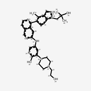 Cc1c(-c2nccc3cnc(Nc4cnc(O)c(N5CCN(CCO)CC5)c4)cc23)ccc2c1cnn2CC(C)(C)O